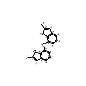 CC1=Cc2cccc(Oc3cccc4c3CC(C)=C4)c2C1